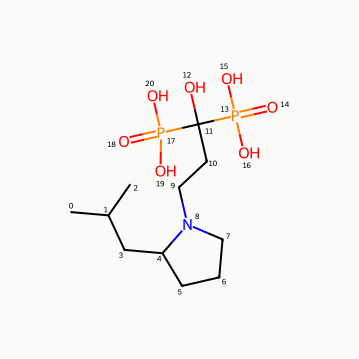 CC(C)CC1CCCN1CCC(O)(P(=O)(O)O)P(=O)(O)O